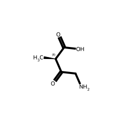 C[C@@H](C(=O)O)C(=O)CN